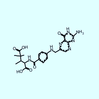 CC(C(NC(=O)c1ccc(NCc2cnc3nc(N)[nH]c(=O)c3n2)cc1)C(=O)O)C(C)(C)C(=O)O